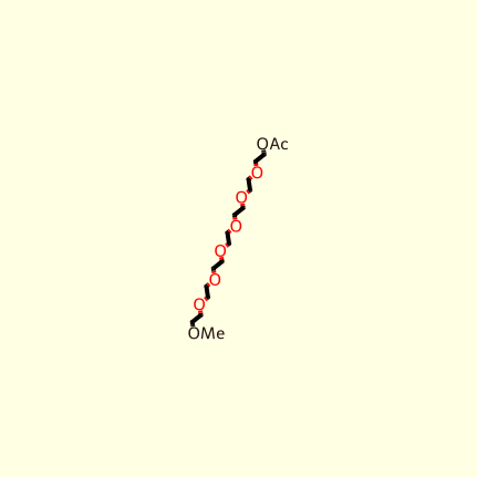 COCCOCCOCCOCCOCCOCCOCCOC(C)=O